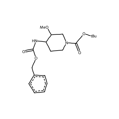 COC1CN(C(=O)OC(C)(C)C)CCC1NC(=O)OCc1ccccc1